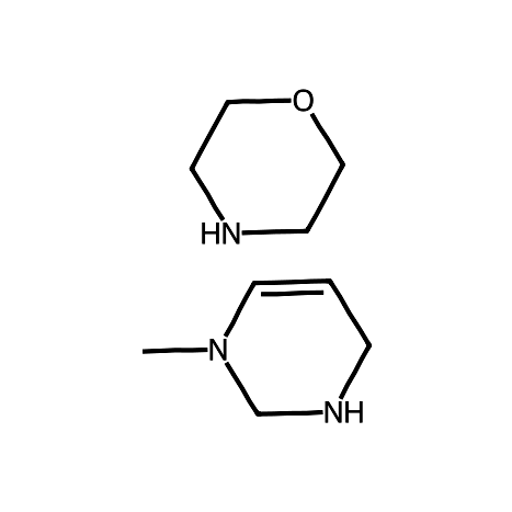 C1COCCN1.CN1C=CCNC1